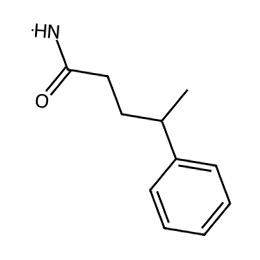 CC(CCC([NH])=O)c1ccccc1